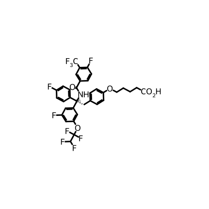 O=C(O)CCCCOc1ccc(C[C@@](NC(=O)c2ccc(F)c(C(F)(F)F)c2)(c2ccc(F)cc2)c2cc(F)cc(OC(F)(F)C(F)F)c2)cc1